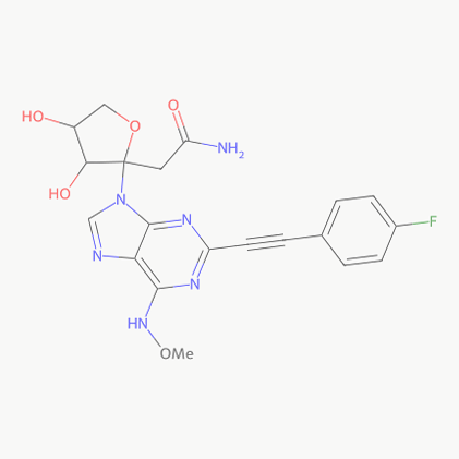 CONc1nc(C#Cc2ccc(F)cc2)nc2c1ncn2C1(CC(N)=O)OCC(O)C1O